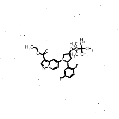 CCOC(=O)c1cnn2ccc(N3CC(O[Si](C)(C)C(C)(C)C)CC3c3cc(F)ccc3F)cc12